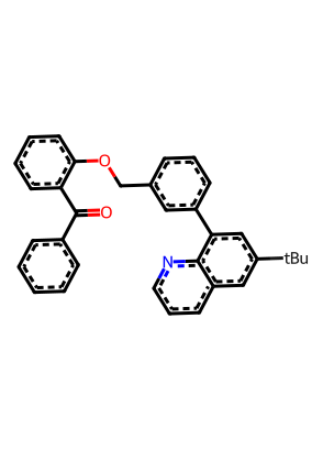 CC(C)(C)c1cc(-c2cccc(COc3ccccc3C(=O)c3ccccc3)c2)c2ncccc2c1